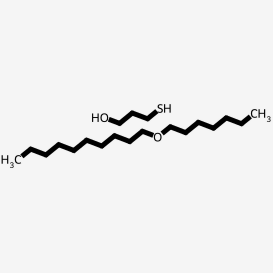 CCCCCCCCCCOCCCCCCC.OCCCS